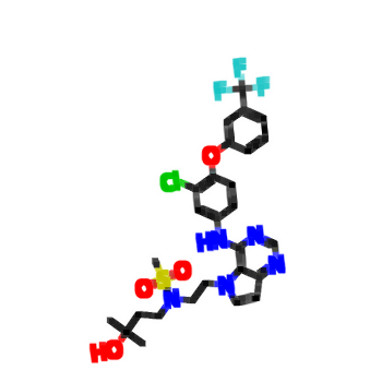 CC(C)(O)CCN(CCn1ccc2ncnc(Nc3ccc(Oc4cccc(C(F)(F)F)c4)c(Cl)c3)c21)S(C)(=O)=O